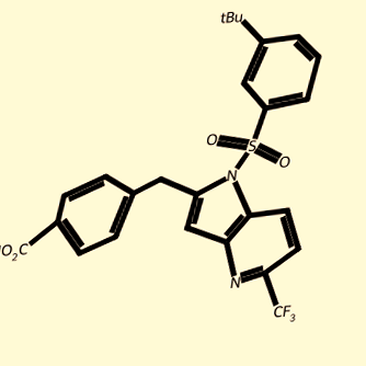 CC(C)(C)c1cccc(S(=O)(=O)n2c(Cc3ccc(C(=O)O)cc3)cc3nc(C(F)(F)F)ccc32)c1